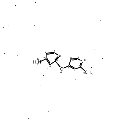 Cc1cc(Oc2cccc(N)c2)ccn1